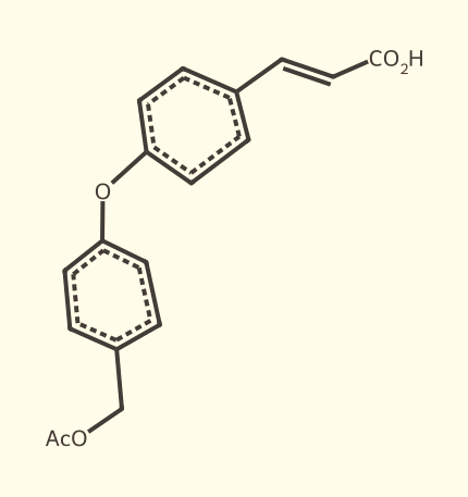 CC(=O)OCc1ccc(Oc2ccc(C=CC(=O)O)cc2)cc1